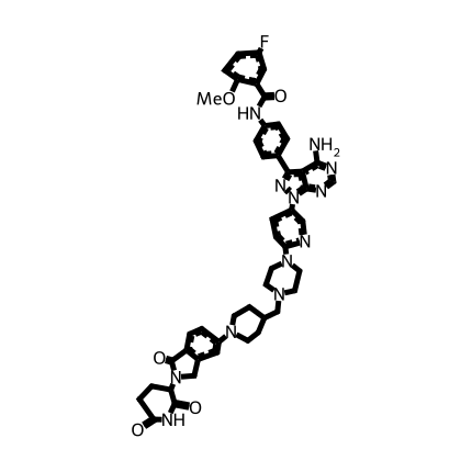 COc1ccc(F)cc1C(=O)Nc1ccc(-c2nn(-c3ccc(N4CCN(CC5CCN(c6ccc7c(c6)CN(C6CCC(=O)NC6=O)C7=O)CC5)CC4)nc3)c3ncnc(N)c23)cc1